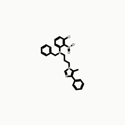 Cc1c(-c2ccccc2)ncn1CCCN(Cc1ccccc1)c1cccc(Cl)c1[N+](=O)[O-]